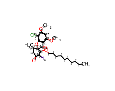 CCCCCCCCCCOC1=C(I)C(=O)C[C@@H](C)[C@]12Oc1c(Cl)c(OC)cc(OC)c1C2=O